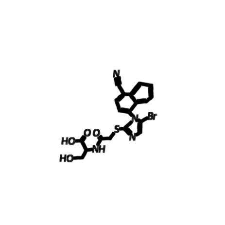 N#Cc1ccc(-n2c(Br)cnc2SCC(=O)NC(CO)C(=O)O)c2ccccc12